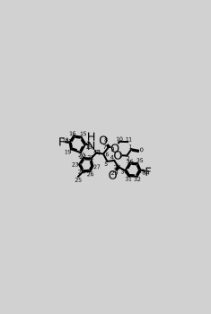 C=CCOC(CC(C(=O)OCC)[C@@H](Nc1ccc(F)cc1)c1ccc(C)cc1)C(=O)c1ccc(F)cc1